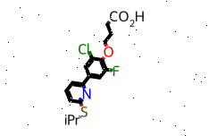 CC(C)Sc1cccc(-c2cc(F)c(OCCCC(=O)O)c(Cl)c2)n1